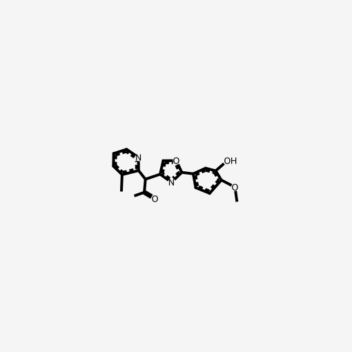 COc1ccc(-c2nc(C(C(C)=O)c3ncccc3C)co2)cc1O